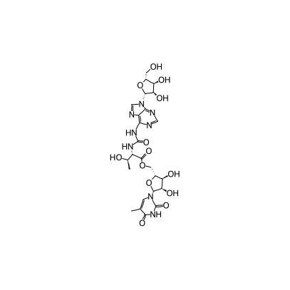 Cc1cn([C@@H]2O[C@H](COC(=O)[C@@H](NC(=O)Nc3ncnc4c3ncn4[C@@H]3O[C@H](CO)[C@@H](O)[C@H]3O)[C@@H](C)O)[C@@H](O)[C@H]2O)c(=O)[nH]c1=O